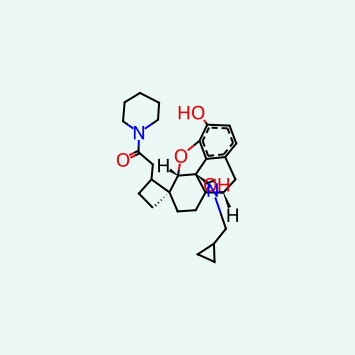 O=C(CC1CC[C@]12CC[C@@]1(O)[C@H]3Cc4ccc(O)c5c4[C@@]1(CCN3CC1CC1)[C@H]2O5)N1CCCCC1